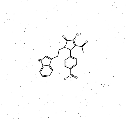 CC(=O)C1=C(O)C(=O)N(CCc2c[nH]c3ccccc23)C1c1ccc([N+](=O)[O-])cc1